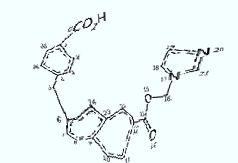 O=C(O)c1ccc(Cc2ccc3ccc(C(=O)OCn4ccnc4)cc3c2)cc1